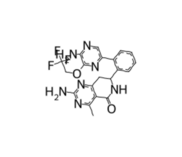 Cc1nc(N)nc2c1C(=O)NC(c1ccccc1-c1cnc(N)c(OCC(F)(F)F)n1)C2